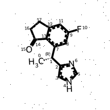 C[C@@H](c1c[nH]cn1)c1cc(F)cc2c1C(=O)CC2